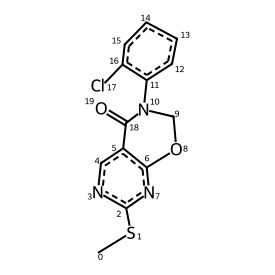 CSc1ncc2c(n1)OCN(c1ccccc1Cl)C2=O